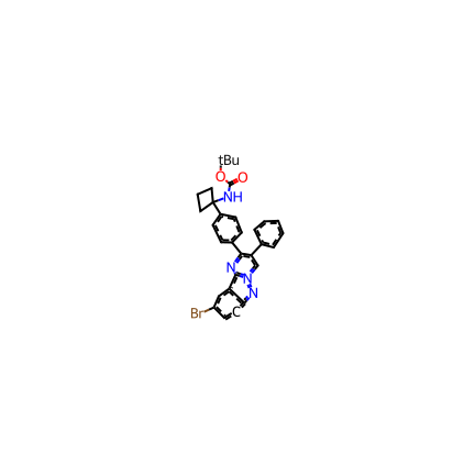 CC(C)(C)OC(=O)NC1(c2ccc(-c3nc4c5cc(Br)ccc5nn4cc3-c3ccccc3)cc2)CCC1